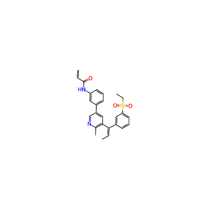 C=CC(=O)Nc1cccc(-c2cnc(C)c(/C(=C\C)c3cccc(S(=O)(=O)CC)c3)c2)c1